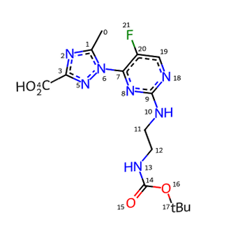 Cc1nc(C(=O)O)nn1-c1nc(NCCNC(=O)OC(C)(C)C)ncc1F